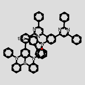 CC(C)(C)c1ccc2c(c1)c1ccccc1n2-c1ccc(-c2cc(-c3ccccc3)nc(-c3ccccc3)n2)cc1-c1cc(-c2ccccc2)nc(-c2cccc(-c3cc4c5c(c3)N(c3ccccc3)c3ccccc3B5c3ccccc3N4c3ccccc3)c2)n1